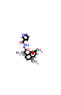 C[C@H]1[C@@H](CNC(=O)c2cccnc2)O[C@@H]2O[C@@]3(C)CC[C@H]4[C@H](C)CC[C@@H]1[C@@]24OO3